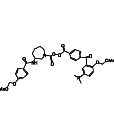 COCOc1ccc(C(=O)NC2CCCCN(C(=O)OOC(=O)c3ccc(C(=O)c4cc(N(C)C)ccc4OCOC)cc3)C2)cc1